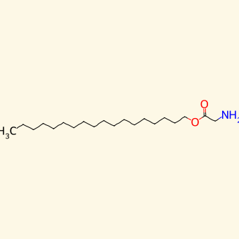 CCCCCCCCCCCCCCCCCCOC(=O)CN